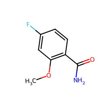 COc1cc(F)ccc1C(N)=O